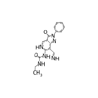 CCNC(=O)Nc1[nH]cc2c(=O)n(-c3ccccc3)nc-2c1C=N